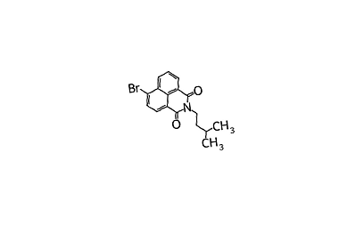 CC(C)CCN1C(=O)c2cccc3c(Br)ccc(c23)C1=O